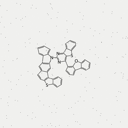 c1ccc2c(c1)oc1c(-c3nc(-n4c5ccccc5c5cc6ccc7sc8ccccc8c7c6cc54)nc4c3sc3ccccc34)cccc12